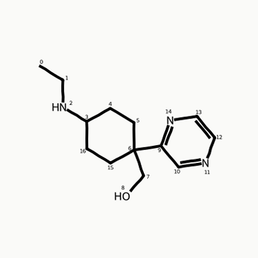 CCNC1CCC(CO)(c2cnccn2)CC1